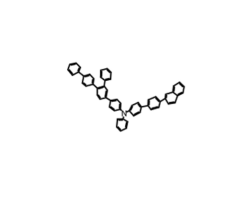 c1ccc(-c2ccc(-c3ccc(-c4ccc(N(c5ccccc5)c5ccc(-c6ccc(-c7ccc8ccccc8c7)cc6)cc5)cc4)cc3-c3ccccc3)cc2)cc1